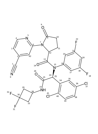 N#Cc1ccnc(N2C(=O)CCC2C(=O)N(c2cc(F)cc(F)c2)[C@H](C(=O)NC2CC(F)(F)C2)c2cc(Cl)ccc2Cl)c1